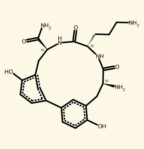 NCCC[C@@H]1NC(=O)[C@@H](N)Cc2cc(ccc2O)-c2ccc(O)c(c2)C[C@@H](C(N)=O)NC1=O